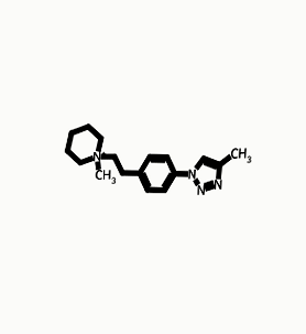 Cc1cn(-c2ccc(CC[N+]3(C)CCCCC3)cc2)nn1